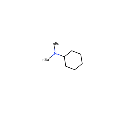 [CH2]CCCN(CCCC)C1CCCCC1